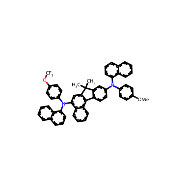 COc1ccc(N(c2ccc3c(c2)C(C)(C)c2cc(N(c4ccc(OC(F)(F)F)cc4)c4cccc5ccccc45)c4ccccc4c2-3)c2cccc3ccccc23)cc1